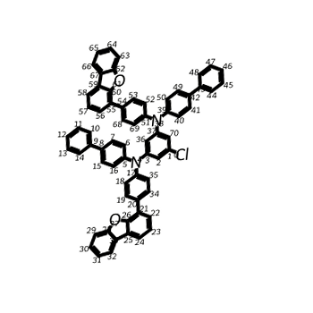 Clc1cc(N(c2ccc(-c3ccccc3)cc2)c2ccc(-c3cccc4c3oc3ccccc34)cc2)cc(N(c2ccc(-c3ccccc3)cc2)c2ccc(-c3cccc4c3oc3ccccc34)cc2)c1